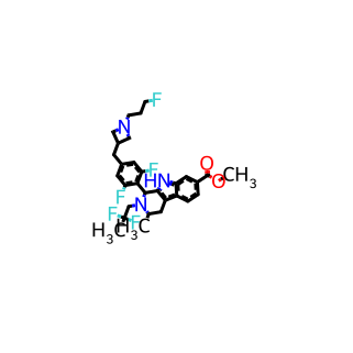 COC(=O)c1ccc2c3c([nH]c2c1)C(c1c(F)cc(CC2CN(CCCF)C2)cc1F)N(CC(C)(F)F)C(C)C3